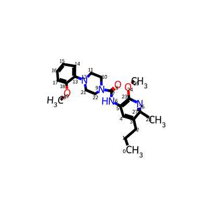 CCCc1cc(NC(=O)N2CCN(c3ccccc3OC)CC2)c(OC)nc1C